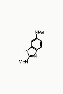 CNc1ccc2nc(NC)[nH]c2c1